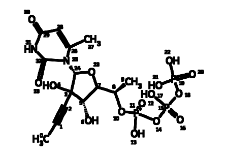 CC#CC1(O)[C@@H](O)C([C@@H](C)OP(=O)(O)OP(=O)(O)OP(=O)(O)O)O[C@H]1n1c(C)cc(=O)[nH]c1=O